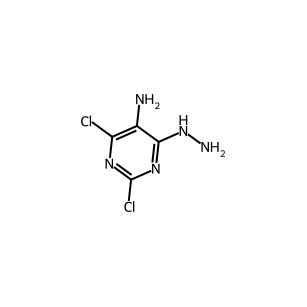 NNc1nc(Cl)nc(Cl)c1N